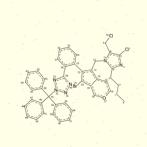 CCCCc1nc(Cl)c(CCl)n1Cc1c2ccocc-2c(Br)c1-c1ccccc1-c1nnn(C(c2ccccc2)(c2ccccc2)c2ccccc2)n1